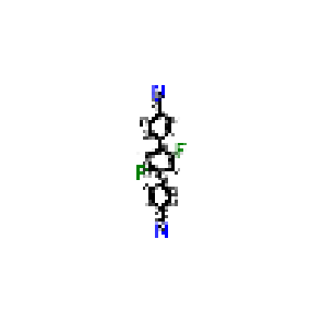 N#Cc1ccc(-c2cc(F)c(-c3ccc(C#N)cc3)cc2F)cc1